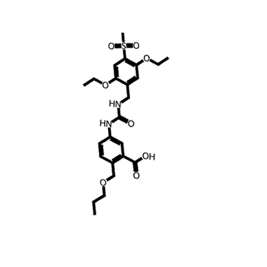 CCCOCc1ccc(NC(=O)NCc2cc(OCC)c(S(C)(=O)=O)cc2OCC)cc1C(=O)O